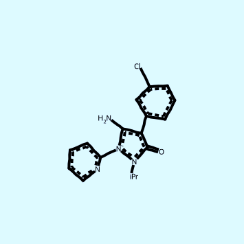 CC(C)n1c(=O)c(-c2cccc(Cl)c2)c(N)n1-c1ccccn1